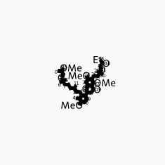 C=C(COC(C)(C)CCC/C(C)=C/Cc1c(C2CC(=O)c3c(cc(OC)c(CCC(C)(C)OCC(=O)CC)c3OC)O2)ccc(OC)c1C)OC